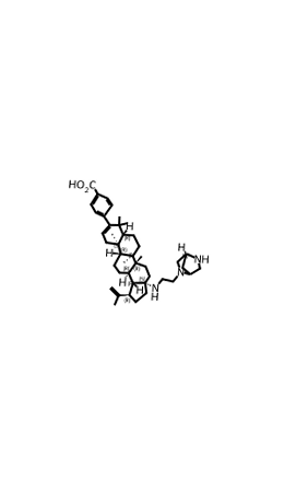 C=C(C)[C@@H]1CC[C@]2(NCCN3C[C@@H]4CC3CN4)CC[C@]3(C)[C@H](CC[C@@H]4[C@@]5(C)CC=C(c6ccc(C(=O)O)cc6)C(C)(C)[C@@H]5CC[C@]43C)[C@@H]12